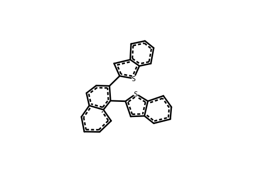 c1ccc2sc(-c3ccc4ccccc4c3-c3cc4ccccc4s3)cc2c1